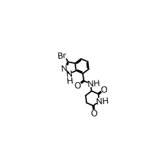 O=C1CCC(NC(=O)c2cccc3c(Br)n[nH]c23)C(=O)N1